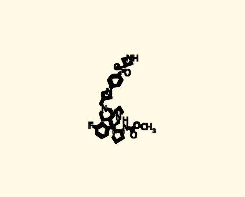 COC(=O)N[C@H]1CCC[C@@H]1[C@](CN1CCC1)(c1cccc(F)c1)C1CCN(CC2CN(c3ccc(S(=O)(=O)C4CNC4)cc3)C2)CC1